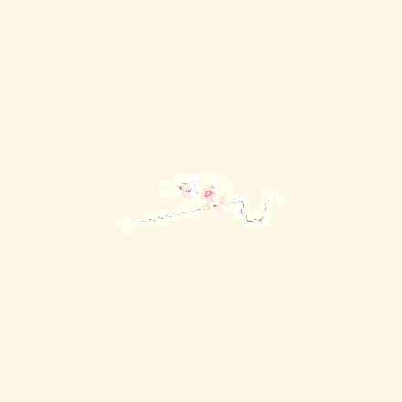 CCCCC/C=C\C/C=C\C/C=C\C/C=C\CCCC(=O)O[C@H](COCCCCCCCCCCCCCCCCCC)COP(=O)(OCCNC(=O)OC(C)(C)C)OC(C)(C)C